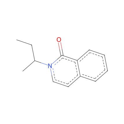 CCC(C)n1ccc2ccccc2c1=O